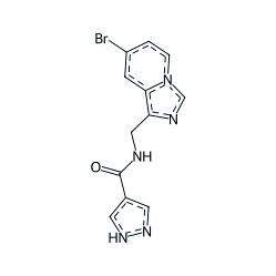 O=C(NCc1ncn2ccc(Br)cc12)c1cn[nH]c1